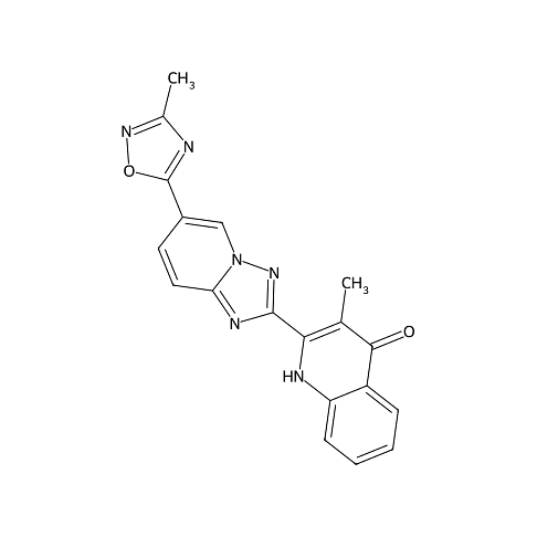 Cc1noc(-c2ccc3nc(-c4[nH]c5ccccc5c(=O)c4C)nn3c2)n1